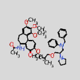 CC(C)COCC(CN(Cc1ccccc1)c1ccccc1)N1CCCC1.COc1cc2c(c(OC)c1OC)-c1ccc(OC)c(=O)cc1[C@@H](NC(C)=O)CC2